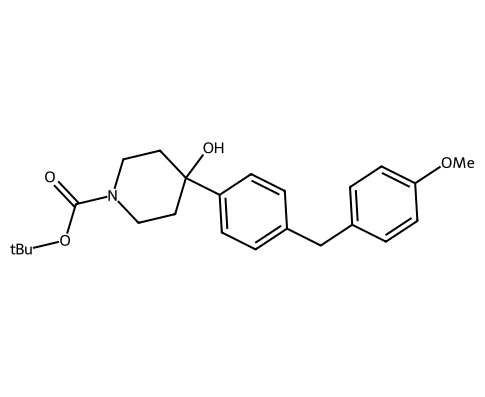 COc1ccc(Cc2ccc(C3(O)CCN(C(=O)OC(C)(C)C)CC3)cc2)cc1